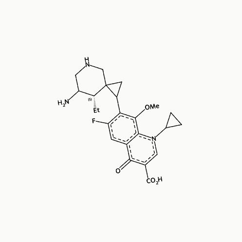 CC[C@@H]1C(N)CNCC12CC2c1c(F)cc2c(=O)c(C(=O)O)cn(C3CC3)c2c1OC